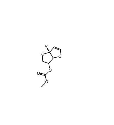 COC(=O)OC1CO[C@@H]2C=COC12